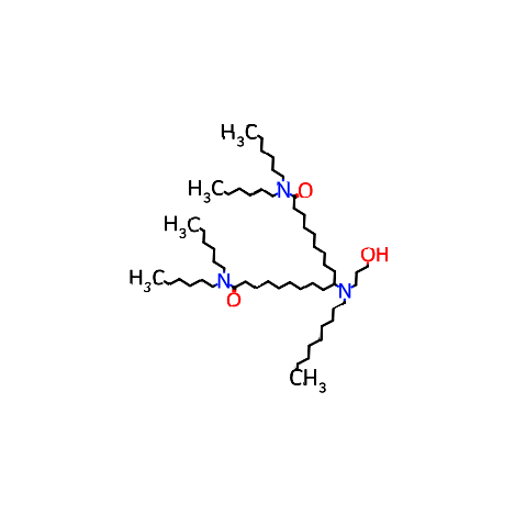 CCCCCCCCCN(CCCO)C(CCCCCCCCC(=O)N(CCCCCC)CCCCCC)CCCCCCCCC(=O)N(CCCCCC)CCCCCC